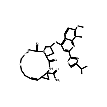 COc1ccc2c(OC3CC4C(=O)NC5(C(N)=O)CC5C=CCCCCCNC(=O)N4C3)cc(-c3nc(C(C)C)cs3)nc2c1C